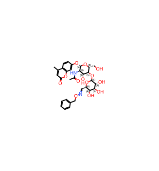 CC(=O)N[C@H]1[C@H](Oc2ccc3c(C)cc(=O)oc3c2)O[C@H](CO)[C@@H](O[C@@H]2O[C@H](C=NOCc3ccccc3)[C@H](O)[C@H](O)[C@H]2O)[C@@H]1O